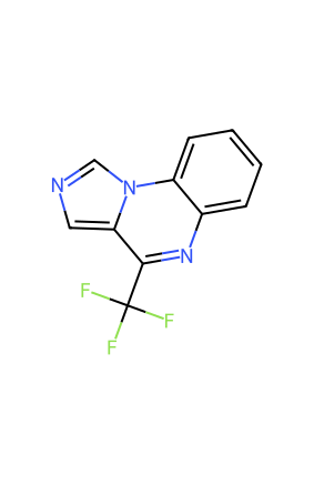 FC(F)(F)c1nc2ccccc2n2cncc12